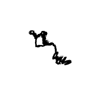 COCC1CC(=O)O1